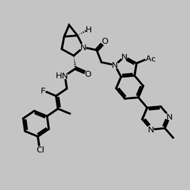 CC(=O)c1nn(CC(=O)N2[C@@H]3CC3C[C@H]2C(=O)NC/C(F)=C(\C)c2cccc(Cl)c2)c2ccc(-c3cnc(C)nc3)cc12